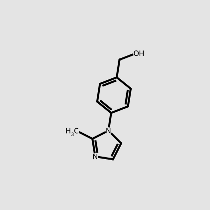 Cc1nccn1-c1ccc(CO)cc1